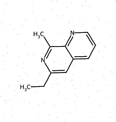 CCc1cc2cccnc2c(C)n1